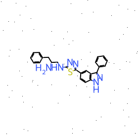 N[C@@H](CNc1nnc(-c2ccc3[nH]nc(-c4ccccc4)c3c2)s1)Cc1ccccc1